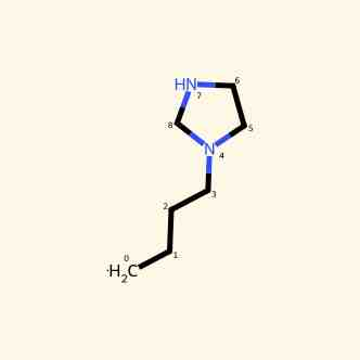 [CH2]CCCN1CCNC1